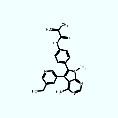 C=C(C)C(=O)Nc1ccc(-c2c(-c3cncc(CO)c3)c3c(N)ncnc3n2C)cc1